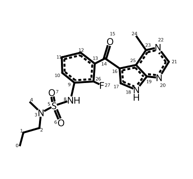 CCCN(C)S(=O)(=O)Nc1cccc(C(=O)c2c[nH]c3ncnc(C)c23)c1F